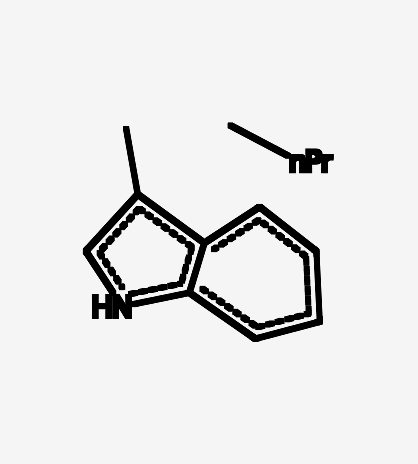 CCCC.Cc1c[nH]c2ccccc12